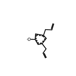 C=CCc1cc([O])cc(CC=C)c1